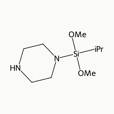 CO[Si](OC)(C(C)C)N1CCNCC1